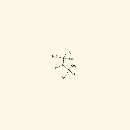 CS(C)(C)N(I)S(C)(C)C